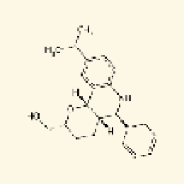 CC(C)c1ccc2c(c1)[C@H]1O[C@@H](CO)CC[C@H]1[C@H](C1C=CC=CC1)N2